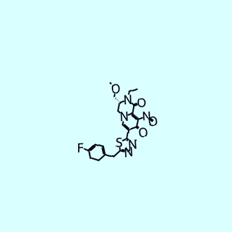 CCN1C(=O)c2c(N=O)c(=O)c(-c3nnc(CC4=CC=C(F)CC4)s3)cn2C[C@@H]1COC